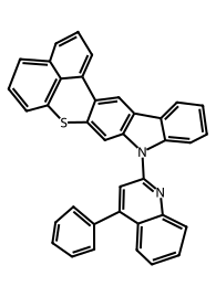 c1ccc(-c2cc(-n3c4ccccc4c4cc5c(cc43)Sc3cccc4cccc-5c34)nc3ccccc23)cc1